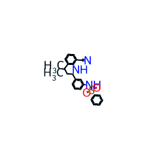 CC1(C)CC(c2cccc(NS(=O)(=O)c3ccccc3)c2)Nc2c(C#N)cccc21